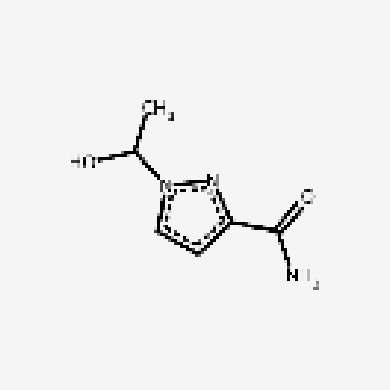 CC(O)n1ccc(C(N)=O)n1